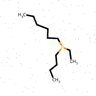 CCCCCCP(CC)CCCC